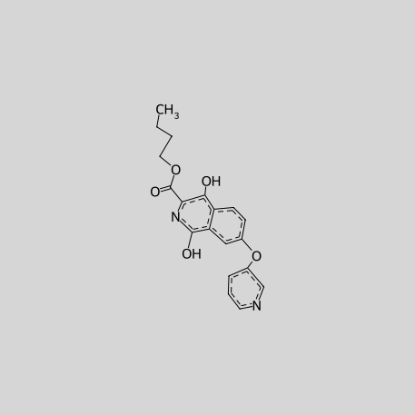 CCCCOC(=O)c1nc(O)c2cc(Oc3cccnc3)ccc2c1O